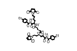 CCc1ccc(C(=O)NC(=O)C(CCCCN2C(=O)C=CC2=O)NC(=O)CCCC(=O)NC(CCCCN2C(=O)C=CC2=O)C(=O)NC(=O)c2ccc(CC)cc2)cc1